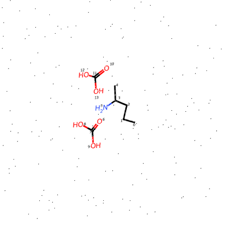 CCCC(C)N.O=C(O)O.O=C(O)O